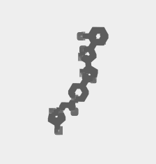 O=C(Cn1cc(Cl)cn1)N1CCC(c2nc(C3=NOC(c4[c]cccc4Cl)C3)cs2)CC1